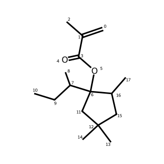 C=C(C)C(=O)OC1(C(C)CC)CC(C)(C)CC1C